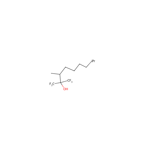 CC(C)CCCCC(C)C(O)(C(F)(F)F)C(F)(F)F